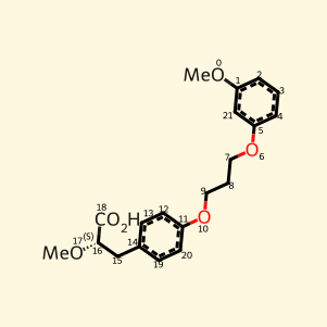 COc1cccc(OCCCOc2ccc(C[C@H](OC)C(=O)O)cc2)c1